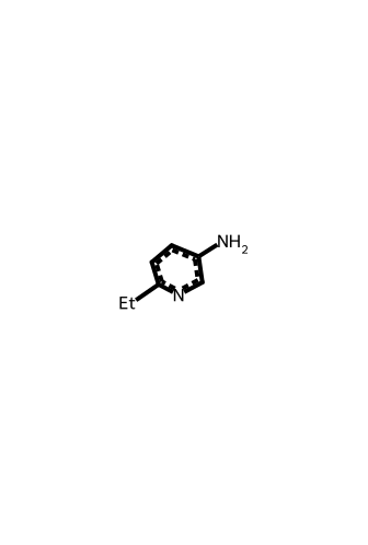 CCc1ccc(N)cn1